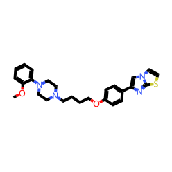 COc1ccccc1N1CCN(CCCCOc2ccc(-c3cn4ccsc4n3)cc2)CC1